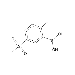 CS(=O)(=O)c1ccc(F)c(B(O)O)c1